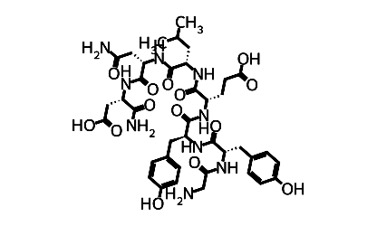 CC(C)C[C@H](NC(=O)[C@H](CCC(=O)O)NC(=O)[C@H](Cc1ccc(O)cc1)NC(=O)[C@H](Cc1ccc(O)cc1)NC(=O)CN)C(=O)N[C@@H](CC(N)=O)C(=O)N[C@@H](CC(=O)O)C(N)=O